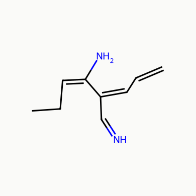 C=C/C=C(C=N)\C(N)=C/CC